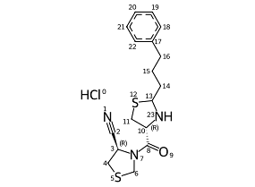 Cl.N#C[C@@H]1CSCN1C(=O)[C@@H]1CSC(CCCc2ccccc2)N1